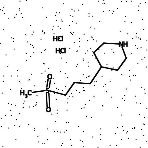 CS(=O)(=O)CCCC1CCNCC1.Cl.Cl